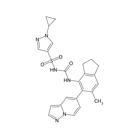 Cc1cc2c(c(NC(=O)NS(=O)(=O)c3cnn(C4CC4)c3)c1-c1ccn3nccc3c1)CCC2